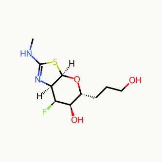 CNC1=N[C@@H]2[C@H](F)[C@H](O)[C@@H](CCCO)O[C@@H]2S1